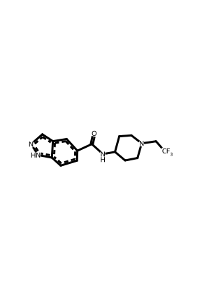 O=C(NC1CCN(CC(F)(F)F)CC1)c1ccc2[nH]ncc2c1